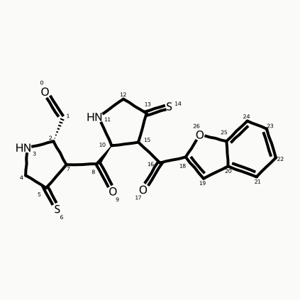 O=C[C@H]1NCC(=S)C1C(=O)[C@H]1NCC(=S)C1C(=O)c1cc2ccccc2o1